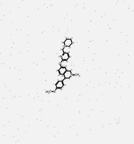 CSc1ccc(C2CN(C)Cc3cc(Oc4cccc(CN5CCCCC5)n4)ccc32)cc1